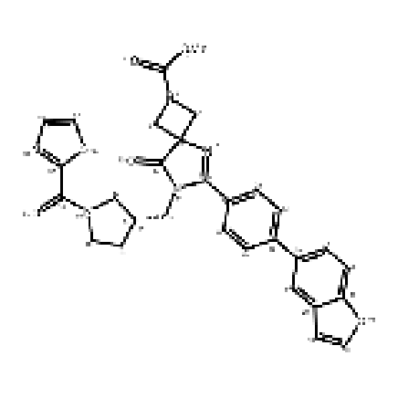 COC(=O)N1CC2(C1)N=C(c1ccc(-c3ccc4occc4c3)cc1)N(C[C@@H]1CCN(C(=O)c3nccs3)C1)C2=O